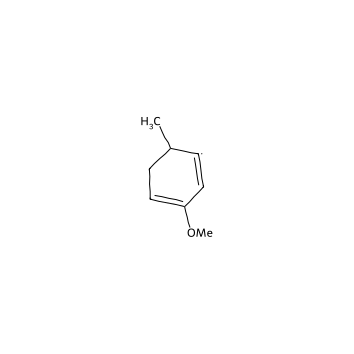 COC1=CCC(C)[C]=C1